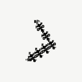 O=S(=O)([O-])C(F)(F)F.O=S(=O)([O-])C(F)(F)F.O=S(=O)([O-])C(F)(F)F.O=S(=O)([O-])C(F)(F)F.O=S(=O)([O-])C(F)(F)F.O=S(=O)([O-])C(F)(F)F.[Bi+3].[Sb+3]